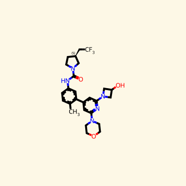 Cc1ccc(NC(=O)N2CC[C@@H](CC(F)(F)F)C2)cc1-c1cc(N2CCOCC2)nc(N2CC(O)C2)c1